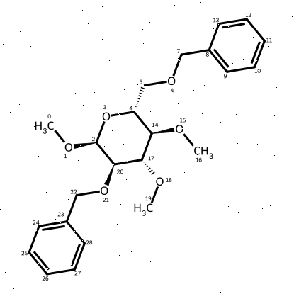 CO[C@H]1O[C@H](COCc2ccccc2)[C@@H](OC)[C@H](OC)[C@H]1OCc1ccccc1